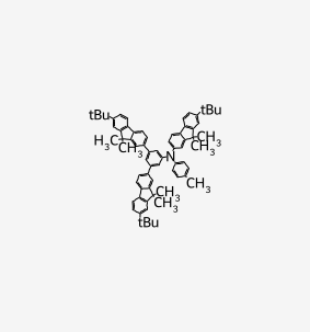 Cc1ccc(N(c2cc(-c3ccc4c(c3)C(C)(C)c3cc(C(C)(C)C)ccc3-4)cc(-c3ccc4c(c3)C(C)(C)c3cc(C(C)(C)C)ccc3-4)c2)c2ccc3c(c2)C(C)(C)c2cc(C(C)(C)C)ccc2-3)cc1